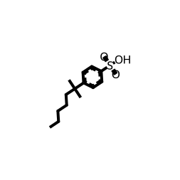 CCCCCC(C)(C)c1ccc(S(=O)(=O)O)cc1